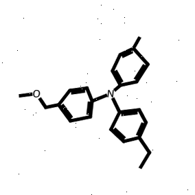 CCc1ccc(N(c2ccc(C)cc2)c2ccc(COC)cc2)cc1